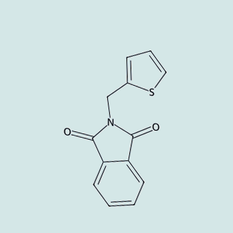 O=C1c2ccccc2C(=O)N1Cc1cccs1